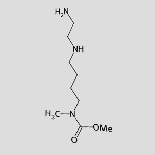 COC(=O)N(C)CCCCNCCN